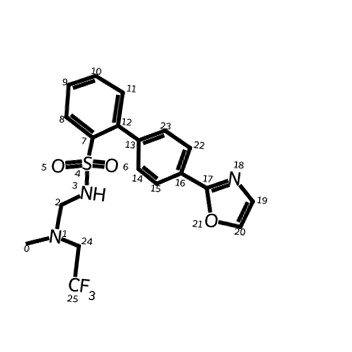 CN(CNS(=O)(=O)c1ccccc1-c1ccc(-c2ncco2)cc1)CC(F)(F)F